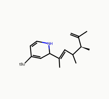 C=C(C)[C@@H](C)C(C)/C=C(\C)C1C=C(C(C)(C)C)C=CN1